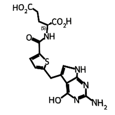 Nc1nc(O)c2c(Cc3ccc(C(=O)N[C@@H](CCC(=O)O)C(=O)O)s3)c[nH]c2n1